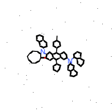 C=C1/C=C\C=C/C/C=C\C=C/1N(c1ccc2ccccc2c1)c1ccc2c(-c3ccccc3)c3cc(N(c4ccc5ccccc5c4)c4cccc5ccccc45)ccc3c(-c3ccc(C)cc3)c2c1